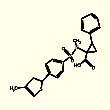 CC1=CSC(c2ccc(S(=O)(=O)N(C)C3(C(=O)O)CC3c3ccccc3)cc2)C1